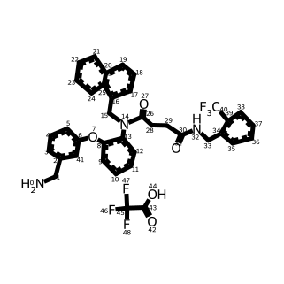 NCc1cccc(Oc2ccccc2N(Cc2cccc3ccccc23)C(=O)CCC(=O)NCc2ccccc2C(F)(F)F)c1.O=C(O)C(F)(F)F